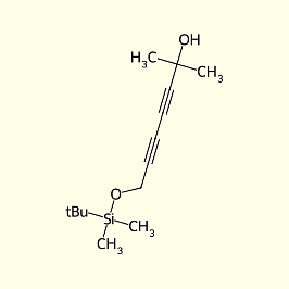 CC(C)(O)C#CC#CCO[Si](C)(C)C(C)(C)C